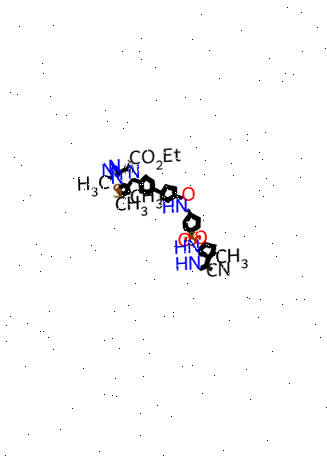 CCOC(=O)C[C@@H]1N=C(c2ccc(-c3ccc(C(=O)NCc4ccc(S(=O)(=O)Nc5ccc(C)c6c(C#N)c[nH]c56)cc4)cc3)cc2)c2c(sc(C)c2C)-n2c(C)nnc21